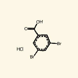 Cl.O=C(O)c1cc(Br)cc(Br)c1